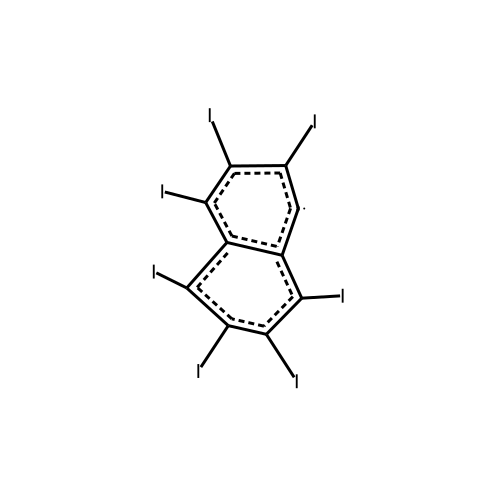 Ic1[c]c2c(I)c(I)c(I)c(I)c2c(I)c1I